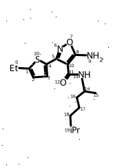 CCc1ccc(-c2noc(N)c2C(=O)NC(C)CCCC(C)C)s1